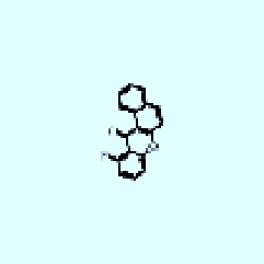 O=c1c2c(F)cccc2oc2ccc3ccccc3c12